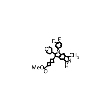 COC(=O)C1CC2(C1)CC(c1c(C3CCOCC3)n(-c3ccc(F)c(F)c3)c3cc4c(C)n[nH]c4cc13)C2